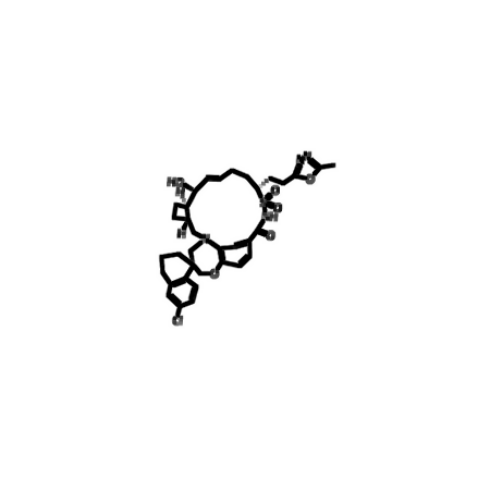 Cc1nnc(CC[C@H]2CC/C=C/[C@H](O)[C@@H]3CC[C@H]3CN3C[C@@]4(CCCc5cc(Cl)ccc54)COc4ccc(cc43)C(=O)NS2(=O)=O)o1